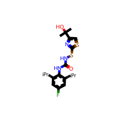 CC(C)c1cc(F)cc(C(C)C)c1NC(=O)NSc1nc(C(C)(C)O)cs1